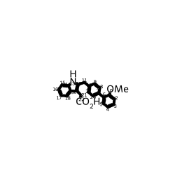 COc1ccccc1-c1ccc(Cc2[nH]c3ccccc3c2CC(=O)O)cc1